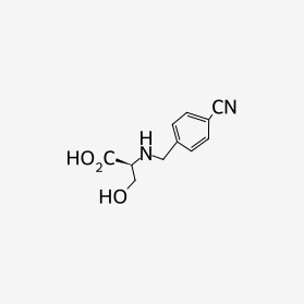 N#Cc1ccc(CN[C@@H](CO)C(=O)O)cc1